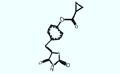 O=C1NC(=O)/C(=C/c2ccc(OC(=O)C3CC3)cc2)S1